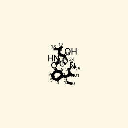 CC[C@H](c1cccc(OC(=O)NC(C(=O)O)C(C)C)c1)C(C)CN(C)C